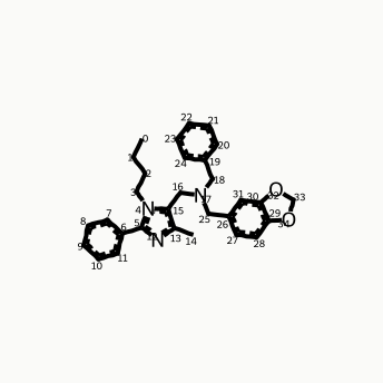 CCCCn1c(-c2ccccc2)nc(C)c1CN(Cc1ccccc1)Cc1ccc2c(c1)OCO2